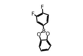 Fc1ccc(B2Oc3ccccc3O2)cc1F